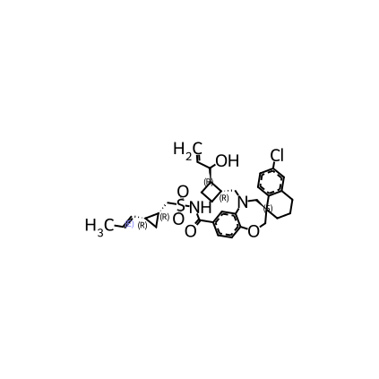 C=CC(O)[C@@H]1CC[C@H]1CN1C[C@@]2(CCCc3cc(Cl)ccc32)COc2ccc(C(=O)NS(=O)(=O)C[C@@H]3C[C@@H]3/C=C/C)cc21